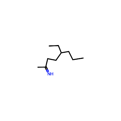 CCCC(CC)CCC(C)=N